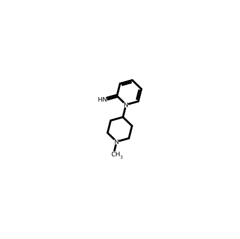 CN1CCC(n2ccccc2=N)CC1